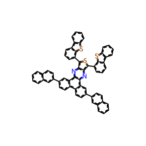 c1ccc2cc(-c3ccc4c5ccc(-c6ccc7ccccc7c6)cc5c5nc6c(-c7cccc8c7sc7ccccc78)sc(-c7cccc8c7sc7ccccc78)c6nc5c4c3)ccc2c1